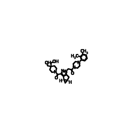 Cc1cccc(N2CCN(C(=O)Cn3nc(C(=O)N4CCC(CO)(CO)CC4)c4c3C[C@H]3C[C@@H]43)CC2)c1C